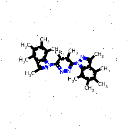 Cc1c(-n2nc(C)c3c(C)c(C)c(C)c(C)c32)nnc(-n2nc(C)c3c(C)c(C)c(C)c(C)c32)c1C